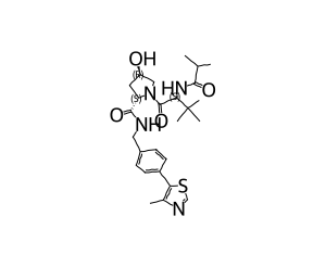 Cc1ncsc1-c1ccc(CNC(=O)[C@@H]2C[C@@H](O)CN2C(=O)[C@@H](NC(=O)C(C)C)C(C)(C)C)cc1